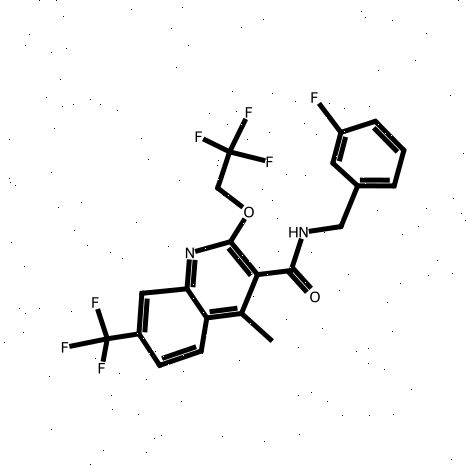 Cc1c(C(=O)NCc2cccc(F)c2)c(OCC(F)(F)F)nc2cc(C(F)(F)F)ccc12